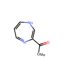 COC(=O)C1=CNC=CC=N1